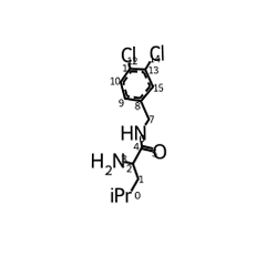 CC(C)CC(N)C(=O)NCc1ccc(Cl)c(Cl)c1